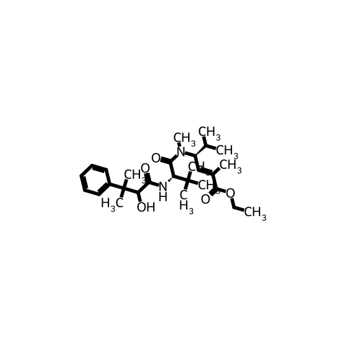 CCOC(=O)C(C)=C[C@H](C(C)C)N(C)C(=O)[C@@H](NC(=O)C(O)C(C)(C)c1ccccc1)C(C)(C)C